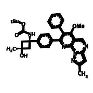 COc1c(-c2ccccc2)c(-c2ccc([C@]3(NC(=O)OC(C)(C)C)C[C@](C)(O)C3)cc2)nc2c1cnc1cc(C)nn12